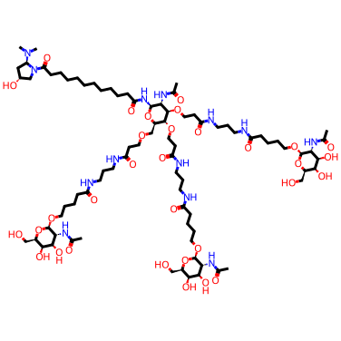 CC(=O)N[C@@H]1[C@@H](OCCC(=O)NCCCNC(=O)CCCCO[C@@H]2O[C@H](CO)[C@H](O)[C@H](O)[C@H]2NC(C)=O)[C@H](OCCC(=O)NCCCNC(=O)CCCCO[C@@H]2O[C@H](CO)[C@H](O)[C@H](O)[C@H]2NC(C)=O)[C@@H](COCCC(=O)NCCCNC(=O)CCCCO[C@@H]2O[C@H](CO)[C@H](O)[C@H](O)[C@H]2NC(C)=O)O[C@H]1NC(=O)CCCCCCCCCCC(=O)N1C[C@H](O)C[C@H]1N(C)C